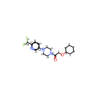 O=C(COC1CCCCC1)N1CCN(c2ccc(C(F)F)nc2)CC1